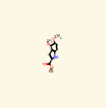 COc1ccc2[nH]c(C(=O)OBr)cc2c1OC